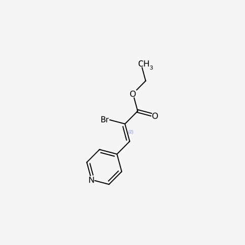 CCOC(=O)/C(Br)=C/c1ccncc1